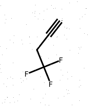 [C]#CCC(F)(F)F